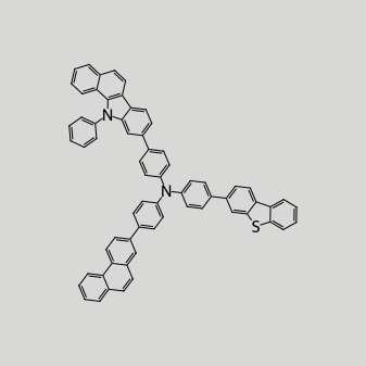 c1ccc(-n2c3cc(-c4ccc(N(c5ccc(-c6ccc7c(ccc8ccccc87)c6)cc5)c5ccc(-c6ccc7c(c6)sc6ccccc67)cc5)cc4)ccc3c3ccc4ccccc4c32)cc1